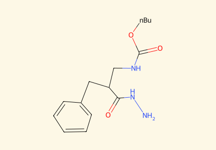 CCCCOC(=O)NCC(Cc1ccccc1)C(=O)NN